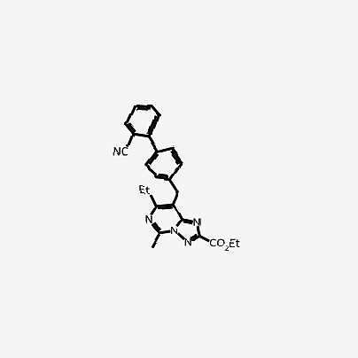 CCOC(=O)c1nc2c(Cc3ccc(-c4ccccc4C#N)cc3)c(CC)nc(C)n2n1